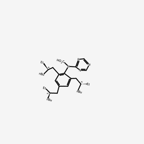 CCCC[C@@H](CC)Cc1cc(C[C@H](CC)CCCC)c(N(C(=O)O)c2ncncn2)c(C[C@H](CC)CCCC)c1